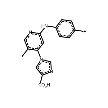 Cc1cnc(Nc2ccc(F)cc2)cc1-n1cnc(C(=O)O)c1